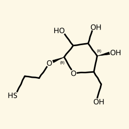 OCC1O[C@@H](OCCS)C(O)C(O)[C@H]1O